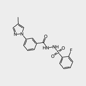 Cc1cnn(-c2cccc(C(=O)NNS(=O)(=O)c3ccccc3F)c2)c1